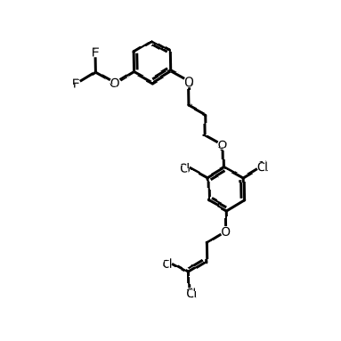 FC(F)Oc1cccc(OCCCOc2c(Cl)cc(OCC=C(Cl)Cl)cc2Cl)c1